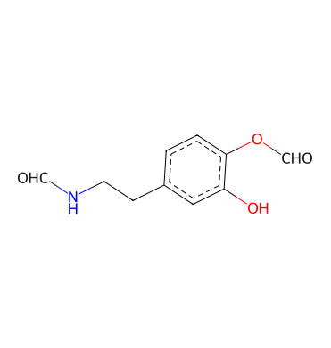 O=CNCCc1ccc(OC=O)c(O)c1